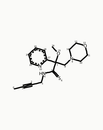 CC#CCNC(=S)C(CN1CCOCC1)(OC)c1ccccn1